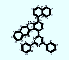 c1ccc(-c2cc(-c3ccc(-c4cccc5ccccc45)c4oc5cc6ccccc6cc5c34)nc(-c3ccccc3)n2)cc1